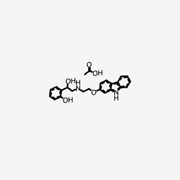 CC(=O)O.Oc1ccccc1C(O)CNCCOc1ccc2c(c1)[nH]c1ccccc12